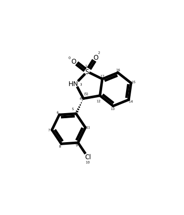 O=S1(=O)N[C@@H](c2cccc(Cl)c2)c2ccccc21